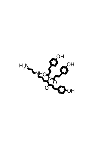 NCCCNCCCC(C(=O)/C=C/c1ccc(O)cc1)N(C(=O)/C=C/c1ccc(O)cc1)C(=O)/C=C/c1ccc(O)cc1